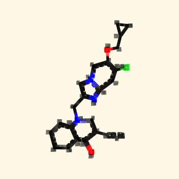 CCOC(=O)c1cn(Cc2cn3cc(OCC4CC4)c(Cl)cc3n2)c2ccccc2c1=O